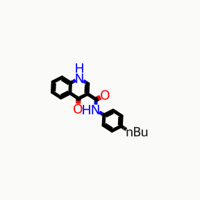 CCCCc1ccc(NC(=O)c2c[nH]c3ccccc3c2=O)cc1